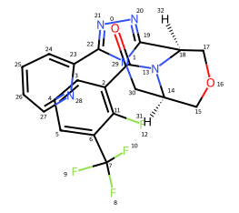 O=C(c1cccc(C(F)(F)F)c1F)N1[C@H]2COC[C@@H]1c1nnc(-c3ccccn3)n1C2